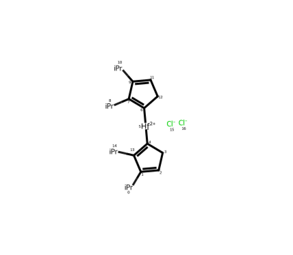 CC(C)C1=CC[C]([Hf+2][C]2=C(C(C)C)C(C(C)C)=CC2)=C1C(C)C.[Cl-].[Cl-]